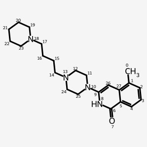 Cc1cccc2c(=O)[nH]c(N3CCN(CCCCN4CCCCC4)CC3)cc12